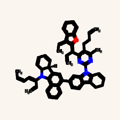 C=CCCc1c(C)nc(-n2c3c(c4ccc(-c5cc6c(c7ccccc57)N(/C(C=C)=C/C=C\C)C5C=CC=C[C@@H]65)cc42)CCC=C3)nc1/C(C=C)=c1\oc2ccccc2\c1=C\C